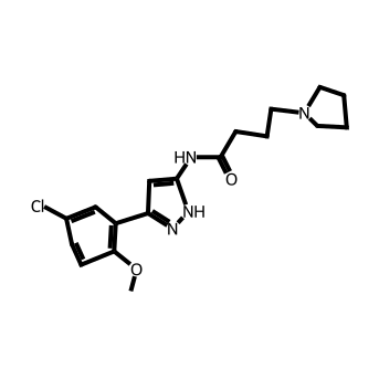 COc1ccc(Cl)cc1-c1cc(NC(=O)CCCN2CCCC2)[nH]n1